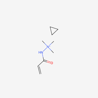 C1CC1.C=CC(=O)N[N+](C)(C)C